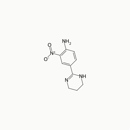 Nc1ccc(C2=NCCCN2)cc1[N+](=O)[O-]